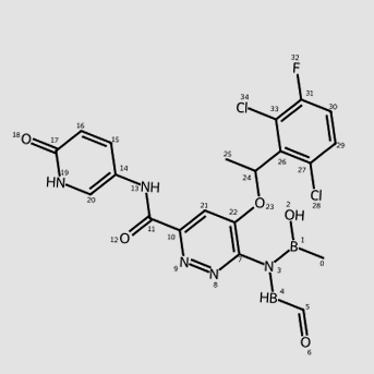 CB(O)N(BC=O)c1nnc(C(=O)Nc2ccc(=O)[nH]c2)cc1OC(C)c1c(Cl)ccc(F)c1Cl